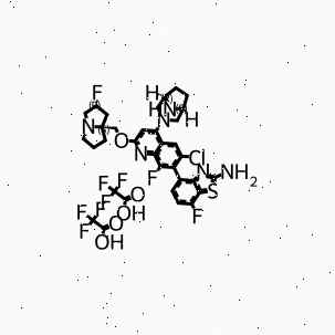 Nc1nc2c(-c3c(Cl)cc4c(N5C[C@H]6CC[C@@H](C5)N6)cc(OC[C@@]56CCCN5C[C@H](F)C6)nc4c3F)ccc(F)c2s1.O=C(O)C(F)(F)F.O=C(O)C(F)(F)F